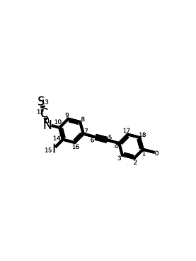 Cc1ccc(C#Cc2ccc(N=C=S)c(I)c2)cc1